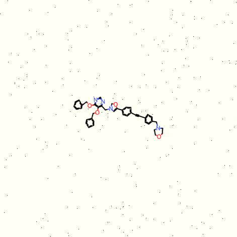 C(#Cc1ccc(C2=CN(Cc3ncnc(OCc4ccccc4)c3OCc3ccccc3)CO2)cc1)c1ccc(CN2CCOCC2)cc1